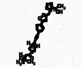 C[C@H](O)c1nccn1Cc1cc(-c2ccc(C#CC3[C@H]4CN(C(=O)CC(C)(C)N)C[C@@H]34)cc2)on1